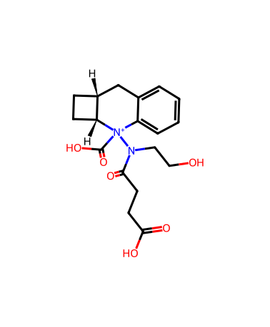 O=C(O)CCC(=O)N(CCO)[N+]1(C(=O)O)c2ccccc2C[C@H]2CC[C@H]21